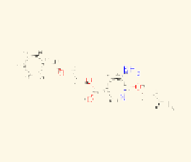 CCCOc1ncc(C(=O)OCCOCc2ccccc2)cc1N